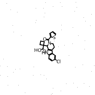 O=C(c1cccs1)N1CCc2c([nH]c3ccc(Cl)cc23)C1C1(C(=O)O)CCC1